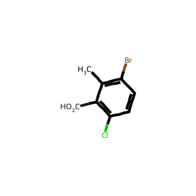 Cc1c(Br)ccc(Cl)c1C(=O)O